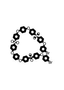 O=S(=O)(c1ccc(Oc2ccc(Br)cc2)cc1)c1ccc(Oc2ccc(Oc3ccc(S(=O)(=O)c4ccc(Oc5ccc(Oc6ccc(S(=O)(=O)c7ccc(Oc8cccc(Br)c8)cc7)cc6)cc5)cc4)cc3)cc2)cc1